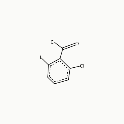 O=C(Cl)c1c(Cl)cccc1I